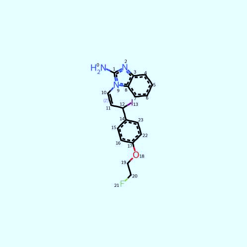 Nc1nc2ccccc2n1/C=C\C(I)c1ccc(OCCF)cc1